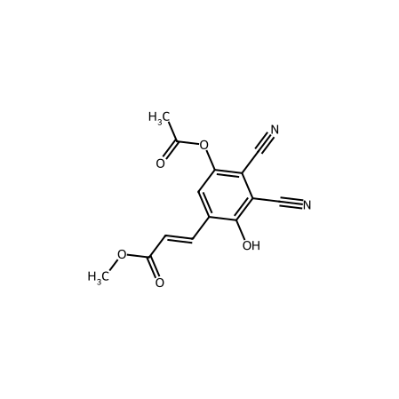 COC(=O)C=Cc1cc(OC(C)=O)c(C#N)c(C#N)c1O